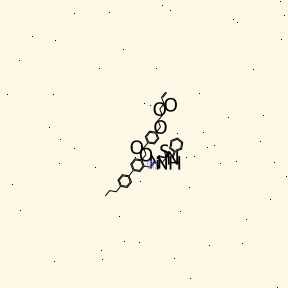 C=CC(=O)OCCOc1ccc(C(=O)Oc2ccc(-c3ccc(CCC)cc3)cc2/C=N/Nc2nc3ccccc3s2)cc1